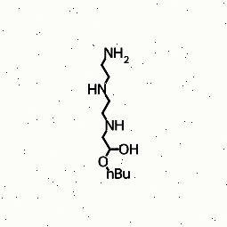 CCCCOC(O)CNCCNCCN